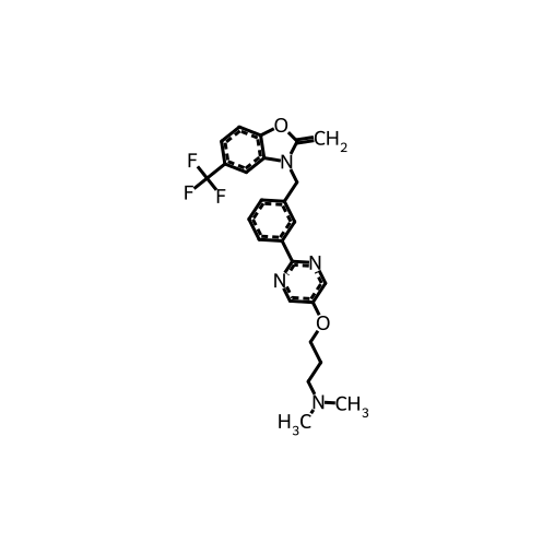 C=C1Oc2ccc(C(F)(F)F)cc2N1Cc1cccc(-c2ncc(OCCCN(C)C)cn2)c1